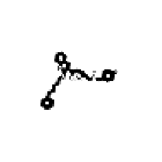 CC(=O)OC(CC#CCNCc1ccc(F)cc1)c1cc2ccccc2nc1OCCCCCc1ccccc1